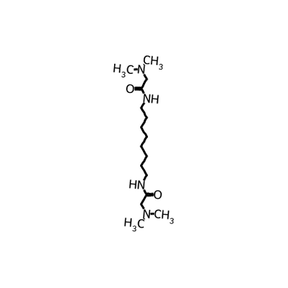 CN(C)CC(=O)NCCCCCCCCNC(=O)CN(C)C